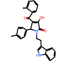 Cc1ccc(C2C(C(=O)c3ccccc3C)=C(O)C(=O)N2CCc2c[nH]c3ccccc23)cc1